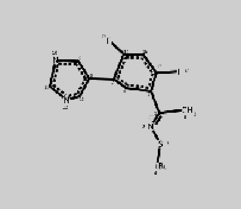 C/C(=N\SC(C)(C)C)c1cc(-c2cncnc2)c(F)cc1F